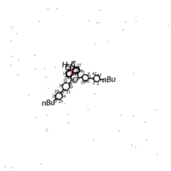 CCCCC1CCC(C2CCC(C(OC(c3ccc(C)cc3)C3CCC(C4CCC(CCCC)CC4)CC3)c3ccc(C)cc3)CC2)CC1